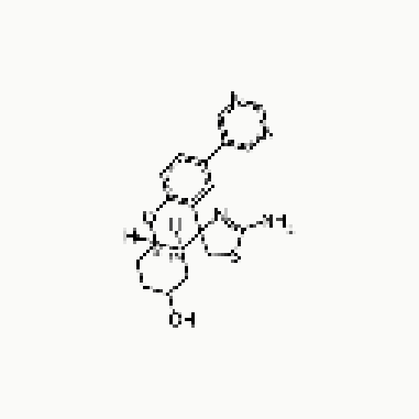 NC1=NC2(CS1)c1cc(-c3cncnc3)ccc1O[C@H]1CCC(O)C[C@@H]12